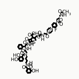 CC(=O)NC[C@H]1CN(c2ccc(N3CCN(C(=O)CNC(=O)OCC4=C(C(=O)O)C5C(=O)[C@@H](NC(=O)C(NC(=O)CN(CCCCNC(=O)c6cccc(O)c6O)C(=O)c6cccc(O)c6O)c6ccccc6)[C@H]5SC4)CC3)c(F)c2)C(=O)O1